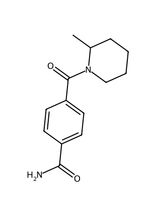 CC1CCCCN1C(=O)c1ccc(C(N)=O)cc1